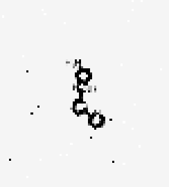 Nc1ccc2[nH]c(-c3cccc(-c4ccccn4)n3)nc2c1